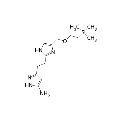 C[Si](C)(C)CCOCc1c[nH]c(CCc2cc(N)[nH]n2)n1